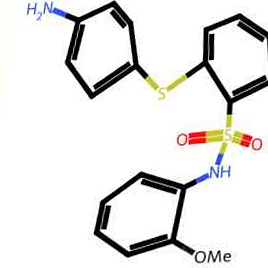 COc1ccccc1NS(=O)(=O)c1ccccc1Sc1ccc(N)cc1